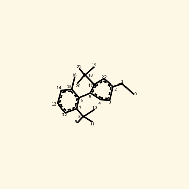 CCc1ccc(-c2c(C(C)(C)C)[c]ccc2C)c(C(C)(C)C)c1